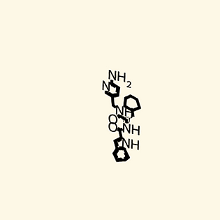 Nc1ccc(CNC(=O)[C@H](CC2CCCCC2)NC(=O)c2cc3ccccc3[nH]2)cn1